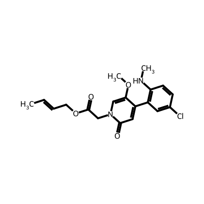 C/C=C/COC(=O)Cn1cc(OC)c(-c2cc(Cl)ccc2NC)cc1=O